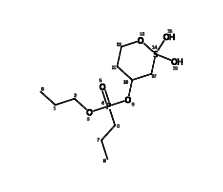 CCCOP(=O)(CCC)OC1CCOS(O)(O)C1